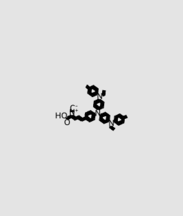 [C-]#[N+]/C(=C\C=C\c1ccc(N(c2ccc(N(CC)c3ccc(C)cc3)cc2)c2ccc(N(CC)c3ccc(C)cc3)cc2)cc1)C(=O)O